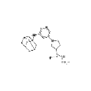 C[C](C)[C@@H](NC(=O)O)C1CCN(c2cnnc(NC34CC5CC(CC(C5)C3)C4)c2)C1